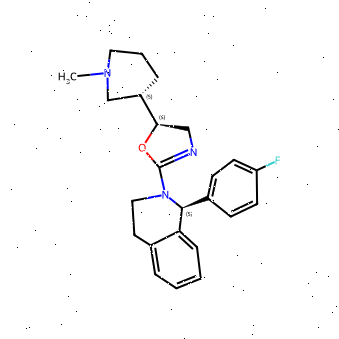 CN1CCC[C@H]([C@H]2CN=C(N3CCc4ccccc4[C@@H]3c3ccc(F)cc3)O2)C1